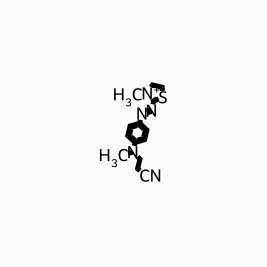 CN(CCC#N)c1ccc(N=NC2=[N+](C)CCS2)cc1